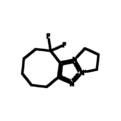 FC1(F)CCCCCc2n[n+]3n(c21)CCC3